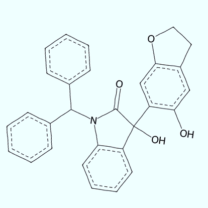 O=C1N(C(c2ccccc2)c2ccccc2)c2ccccc2C1(O)c1cc2c(cc1O)CCO2